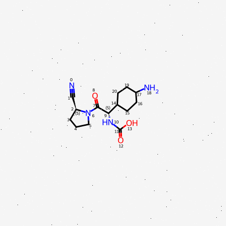 N#C[C@@H]1CCCN1C(=O)[C@@H](NC(=O)O)C1CCC(N)CC1